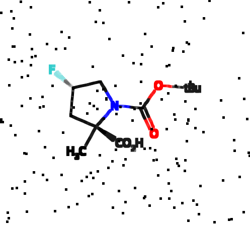 CC(C)(C)OC(=O)N1C[C@@H](F)C[C@]1(C)C(=O)O